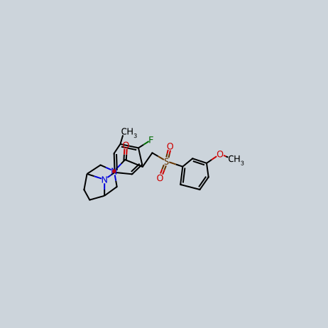 COc1cccc(S(=O)(=O)CCC(=O)N2CC3CCC(C2)N3c2ccc(F)c(C)c2)c1